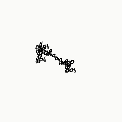 CC/N=c1/cc2oc3cc(NCC)c(C)cc3c(-c3ccc(C(=O)NCCOCCOCCOCCNC(=O)CCC(=O)N(Cc4ccccc4C)c4ccccc4C)cc3C(=O)O)c-2cc1C